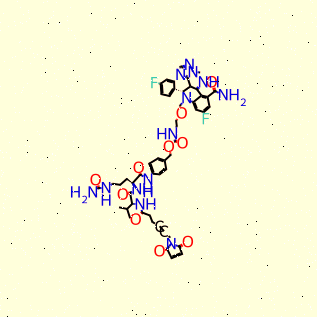 CC(C)[C@H](NC(=O)CCCCCN1C(=O)C=CC1=O)C(=O)N[C@@H](CCCNC(N)=O)C(=O)Nc1ccc(COC(=O)NCCOCN2c3cc(F)cc(C(N)=O)c3C(=N)C(c3ncnn3C)[C@H]2c2ccc(F)cc2)cc1